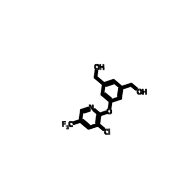 OCc1cc(CO)cc(Oc2ncc(C(F)(F)F)cc2Cl)c1